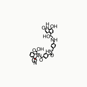 O=C(NCc1ccc(CNCC(O)c2ccc(O)c3[nH]c(=O)ccc23)cc1)c1ccc(C(=O)N2CC(C(=O)O)(c3ccccc3)C2C2CN3CCC2CC3)cc1